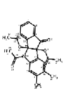 CC(=O)OC12C(=O)c3ccccc3C1(OC(C)=O)N(C(C)=O)c1cc(C)c(C)cc12